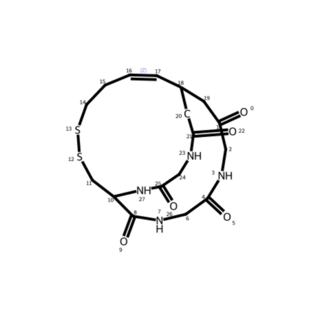 O=C1CNC(=O)CNC(=O)C2CSSCC/C=C\C(C1)CC(=O)NCC(=O)N2